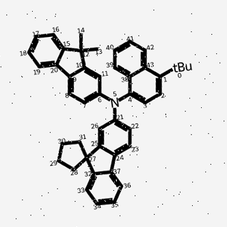 CC(C)(C)c1ccc(N(c2ccc3c(c2)C(C)(C)c2ccccc2-3)c2ccc3c(c2)C2(CCCC2)c2ccccc2-3)c2ccccc12